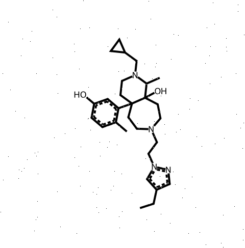 CCc1cnn(CCN2CCC3(c4cc(O)ccc4C)CCN(CC4CC4)C(C)C3(O)CC2)c1